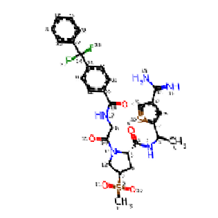 CC(NC(=O)[C@@H]1C[C@@H](S(C)(=O)=O)CN1C(=O)CNC(=O)c1ccc(C(F)(F)c2ccccc2)cc1)c1cc(C(=N)N)cs1